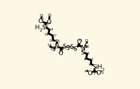 COC(OC)[SiH2]CCCCSN(SC)C(=O)SSSSC(=O)N(SC)SCCCC[SiH2]C(OC)OC